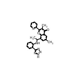 Cc1cc(C(C)Nc2ccccc2-c2nn[nH]n2)c2oc(-c3ccccn3)c(C)c(=O)c2c1